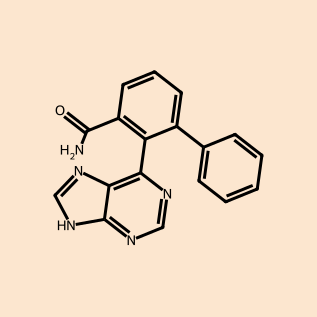 NC(=O)c1cccc(-c2ccccc2)c1-c1ncnc2[nH]cnc12